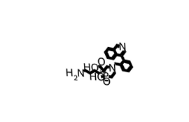 NCCCC[C@@]1(C(=O)O)CN(Cc2ccccc2-c2cncc3ccccc23)CCP1(=O)O